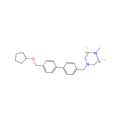 C[C@@H]1CN(Cc2ccc(-c3ccc(COC4CCCC4)cc3)cc2)C[C@H](C)N1C